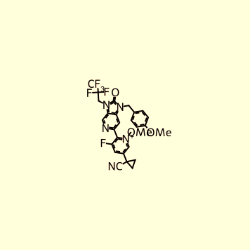 COc1ccc(Cn2c(=O)n(CC(F)(F)C(F)(F)F)c3cnc(-c4c(F)cc(C5(C#N)CC5)c[n+]4OC)cc32)cc1